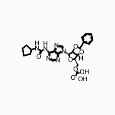 O=C(Nc1ncnc2c1ncn2[C@@H]1O[C@H](COP(=O)(O)O)[C@@H]2OC(c3ccccc3)OC21)NC1CCCC1